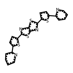 c1ccc(-c2ccc(-c3nc4sc(-c5ccc(-c6ccccn6)s5)nc4s3)s2)nc1